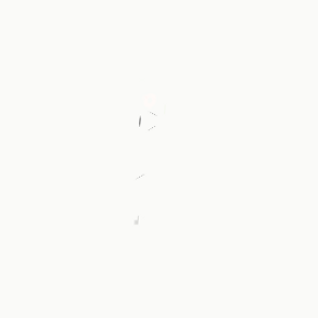 CCCC1CCC(/C=C/C2CCC(c3cc(F)c(OCF)c(F)c3)CC2)CC1